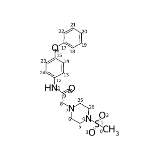 CS(=O)(=O)N1CCN(CC(=O)Nc2ccc(Oc3ccccc3)cc2)CC1